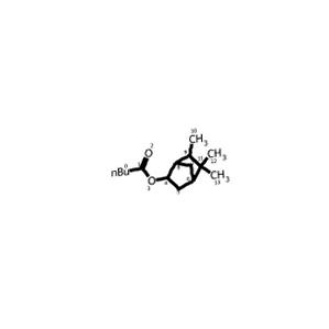 CCCCC(=O)OC1CC2CC1C(C)C2(C)C